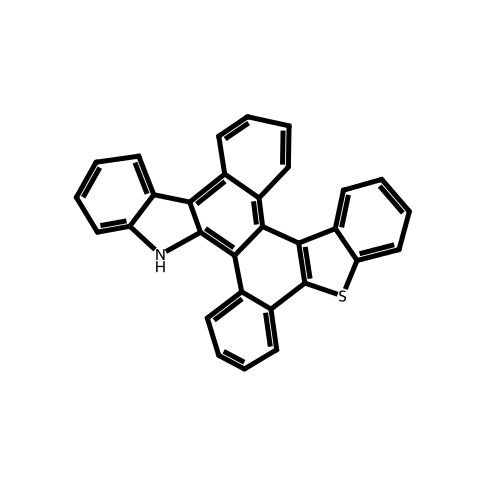 c1ccc2c(c1)[nH]c1c2c2ccccc2c2c1c1ccccc1c1sc3ccccc3c12